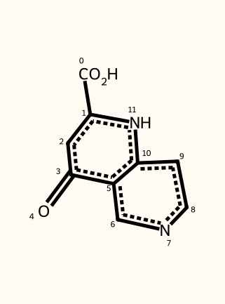 O=C(O)c1cc(=O)c2cnccc2[nH]1